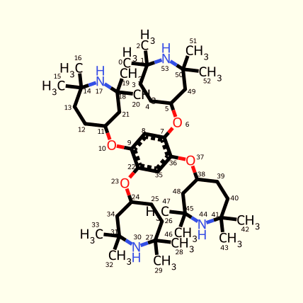 CC1(C)CCC(Oc2cc(OC3CCC(C)(C)NC(C)(C)C3)c(OC3CCC(C)(C)NC(C)(C)C3)cc2OC2CCC(C)(C)NC(C)(C)C2)CC(C)(C)N1